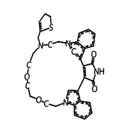 O=C1NC(=O)C2=C1c1cn(c3ccccc13)CCOCCOCCN(CC1=CCCS1)CCn1cc2c2ccccc21